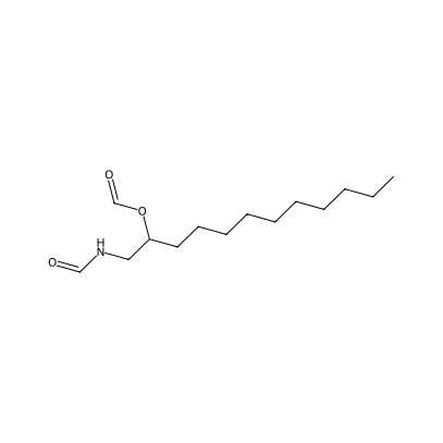 CCCCCCCCCCC(CNC=O)OC=O